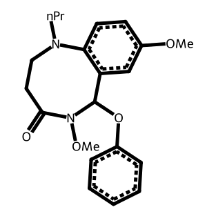 CCCN1CCC(=O)N(OC)C(Oc2ccccc2)c2cc(OC)ccc21